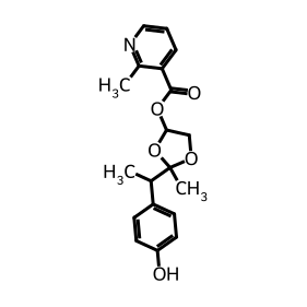 Cc1ncccc1C(=O)OC1COC(C)(C(C)c2ccc(O)cc2)O1